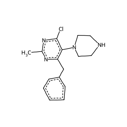 Cc1nc(Cl)c(N2CCNCC2)c(Cc2ccccc2)n1